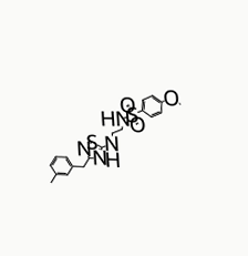 COc1ccc(S(=O)(=O)NCCNc2nc(Cc3cccc(C)c3)ns2)cc1